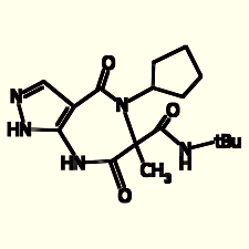 CC(C)(C)NC(=O)C1(C)C(=O)Nc2[nH]ncc2C(=O)N1C1CCCC1